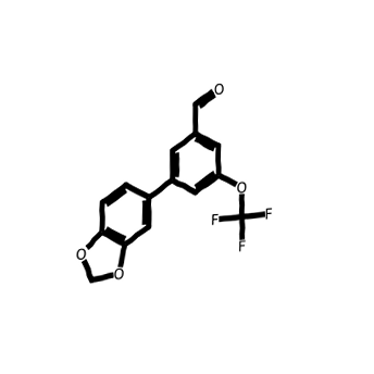 O=Cc1cc(OC(F)(F)F)cc(-c2ccc3c(c2)OCO3)c1